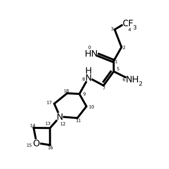 N=C(CCC(F)(F)F)/C(N)=C\NC1CCN(C2COC2)CC1